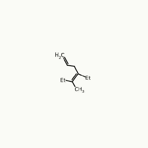 C=CCC(CC)=C(C)CC